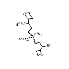 CCC(CC[Si](CCC(CC)C1CCO1)(OC)OC)C1CCO1